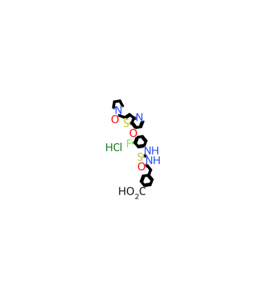 Cl.O=C(Cc1ccc(C(=O)O)cc1)NC(=S)Nc1ccc(Oc2ccnc3cc(C(=O)N4CCCC4)sc23)c(F)c1